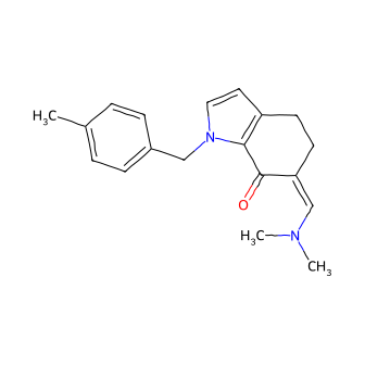 Cc1ccc(Cn2ccc3c2C(=O)C(=CN(C)C)CC3)cc1